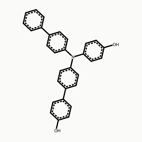 Oc1ccc(-c2ccc(N(c3ccc(O)cc3)c3ccc(-c4ccccc4)cc3)cc2)cc1